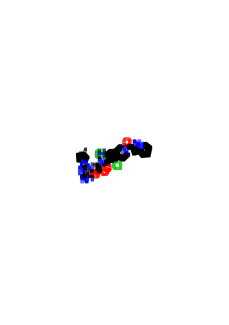 C[C@H]1CCN(/C(=N/C#N)NC[C@H](NC(=O)c2c(Cl)cc3c(c2Cl)CCN(C(=O)c2cc4ccccn4n2)C3)C(=O)O)C1